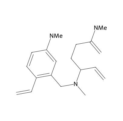 C=Cc1ccc(NC)cc1CN(C)C(C=C)CCC(=C)NC